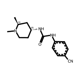 C[C@H]1C[C@H](NC(=O)Nc2ccc(C#N)cc2)CCN1C